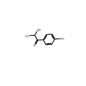 Cc1ccc(C(=O)C(C)O)cc1